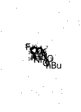 CCCCOC(=O)NC[C@@]1(C)Cc2cc(F)cc([C@@H](C)N)c2O1